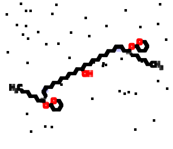 CCCCCC[C@H](C/C=C\CCCCCCCCC(O)CCCCCCCC/C=C\C[C@@H](CCCCCC)OC1CCCCO1)OC1CCCCO1